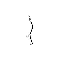 [CH2]OCF